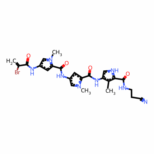 C=C(Br)C(=O)Nc1cc(C(=O)Nc2cc(C(=O)Nc3c[nH]c(C(=O)NCCC#N)c3C)n(C)c2)n(C)c1